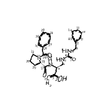 C=C(O)[C@H](CNC(=O)NCc1ccccc1)NC(=O)[C@@H]1CCCN1C(=O)c1ccccc1